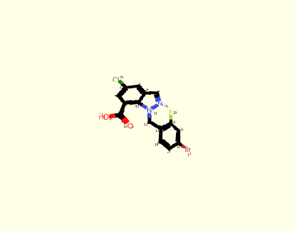 O=C(O)c1cc(Cl)cc2cnn(Cc3ccc(Br)cc3F)c12